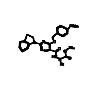 CCN(NC(=O)c1cnc(N2CCc3ccccc32)nc1OCc1ccc(OC)cc1)C(=O)OC(C)(C)C